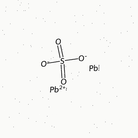 O=S(=O)([O-])[O-].[Pb+2].[Pb]